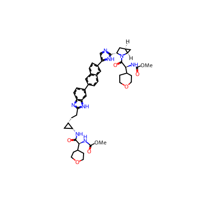 COC(=O)N[C@H](C(=O)N[C@@H]1C[C@@H]1CCc1nc2ccc(-c3ccc4cc(-c5cnc([C@@H]6C[C@H]7C[C@H]7N6C(=O)[C@@H](NC(=O)OC)C6CCOCC6)[nH]5)ccc4c3)cc2[nH]1)C1CCOCC1